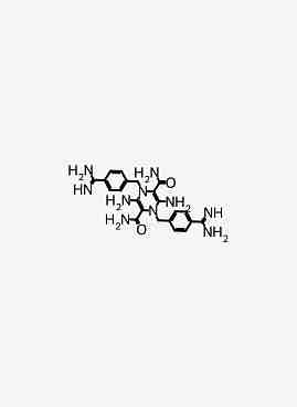 N=C(N)c1ccc(CN2C(N)=C(C(N)=O)N(Cc3ccc(C(=N)N)cc3)C(N)=C2C(N)=O)cc1